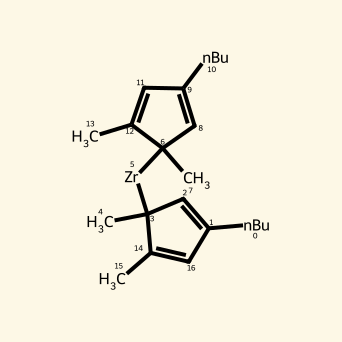 CCCCC1=C[C](C)([Zr][C]2(C)C=C(CCCC)C=C2C)C(C)=C1